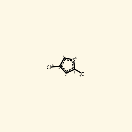 Clc1[c]c(Cl)sc1